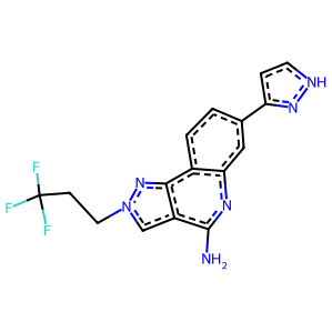 Nc1nc2cc(-c3cc[nH]n3)ccc2c2nn(CCC(F)(F)F)cc12